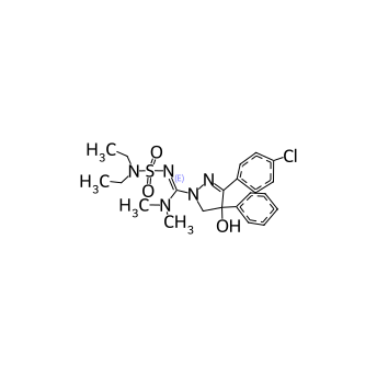 CCN(CC)S(=O)(=O)/N=C(\N(C)C)N1CC(O)(c2ccccc2)C(c2ccc(Cl)cc2)=N1